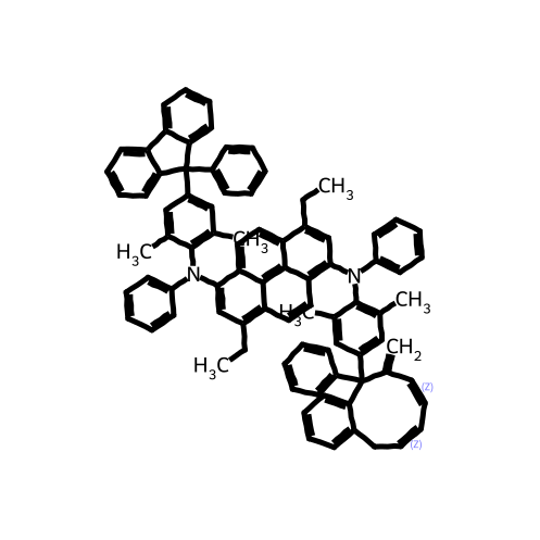 C=C1/C=C\C=C/Cc2ccccc2C1(c1ccccc1)c1cc(C)c(N(c2ccccc2)c2cc(CC)c3ccc4c(N(c5ccccc5)c5c(C)cc(C6(c7ccccc7)c7ccccc7-c7ccccc76)cc5C)cc(CC)c5ccc2c3c54)c(C)c1